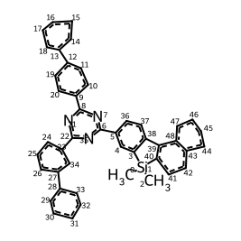 C[Si]1(C)c2cc(-c3nc(-c4ccc(-c5ccccc5)cc4)nc(-c4cccc(-c5ccccc5)c4)n3)ccc2-c2c1ccc1ccccc21